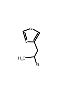 CCC(C)Cc1cscn1